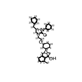 Cc1cccc(COC2CCC[C@H](OCCN(CCCc3ccccc3)C(=O)Nc3ccccc3)C2)c1C(=O)O